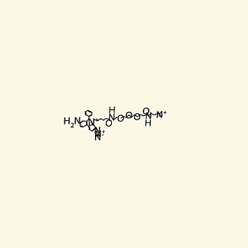 C[N+](C)(C)CCCNC(=O)CCOCCOCCOCCNC(=O)CCCCC[n+]1c(-c2ccccc2)c2cc(N)ccc2c2ccc(N=[N+]=[N-])cc21